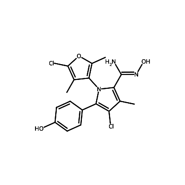 Cc1oc(Cl)c(C)c1-n1c(/C(N)=N/O)c(C)c(Cl)c1-c1ccc(O)cc1